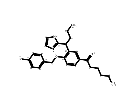 CCCCCC(=O)c1ccc(OCc2ccc(Br)cc2)c(C(CCC)c2ncc[nH]2)c1